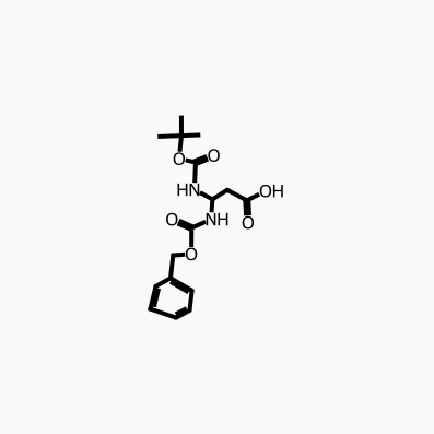 CC(C)(C)OC(=O)NC(CC(=O)O)NC(=O)OCc1ccccc1